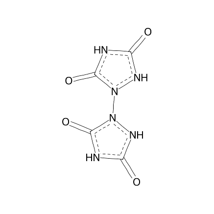 O=c1[nH]c(=O)n(-n2[nH]c(=O)[nH]c2=O)[nH]1